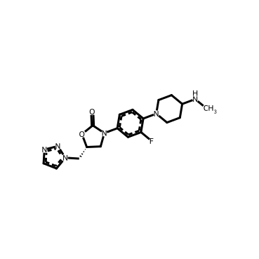 CNC1CCN(c2ccc(N3C[C@H](Cn4ccnn4)OC3=O)cc2F)CC1